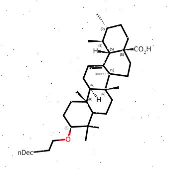 CCCCCCCCCCCCO[C@H]1CC[C@@]2(C)C(CC[C@]3(C)[C@@H]2CC=C2[C@@H]4[C@@H](C)[C@H](C)CC[C@]4(C(=O)O)CC[C@]23C)C1(C)C